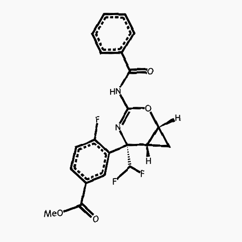 COC(=O)c1ccc(F)c([C@@]2(C(F)F)N=C(NC(=O)c3ccccc3)O[C@@H]3C[C@@H]32)c1